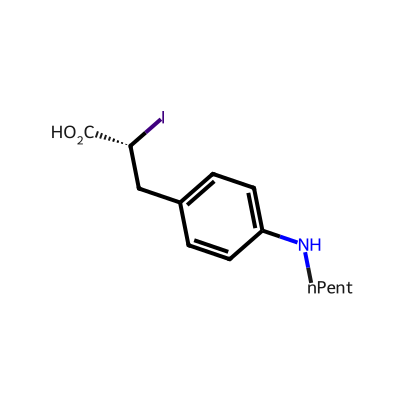 CCCCCNc1ccc(C[C@@H](I)C(=O)O)cc1